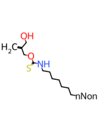 C=C(CO)COC(=S)NCCCCCCCCCCCCCCCC